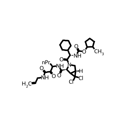 C=CCNC(=O)C(=O)C(CCC)NC(=O)[C@@H]1C2[C@H](CN1C(=O)[C@@H](NC(=O)OC1CCCC1C)C1CCCCC1)C2(Cl)Cl